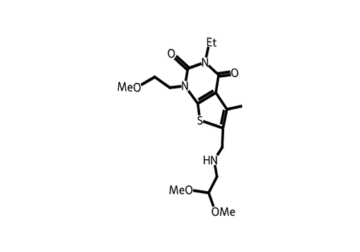 CCn1c(=O)c2c(C)c(CNCC(OC)OC)sc2n(CCOC)c1=O